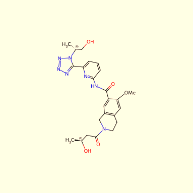 COc1cc2c(cc1C(=O)Nc1cccc(-c3nnnn3[C@H](C)CO)n1)CN(C(=O)C[C@H](C)O)CC2